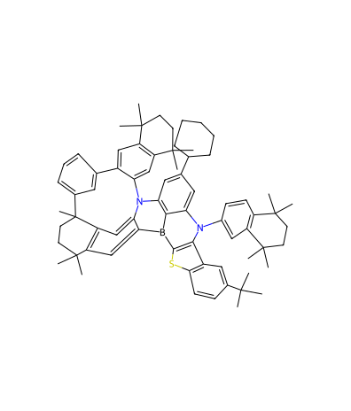 CC(C)(C)c1ccc2sc3c(c2c1)N(c1ccc2c(c1)C(C)(C)CCC2(C)C)c1cc(C2CCCCC2)cc2c1B3c1cc3c4cc1N2c1cc2c(cc1-c1cccc(c1)C4(C)CCC3(C)C)C(C)(C)CCC2(C)C